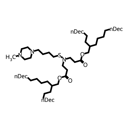 CCCCCCCCCCCCCCC(CCCCCCCCCCCC)COC(=O)CCN(CCC(=O)OCC(CCCCCCCCCCCC)CCCCCCCCCCCCCC)SCCCCN1CCN(C)CC1